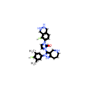 Cc1cc(-n2nc3c(c2-n2ccn(-c4ccc5c(c4F)CNNC5)c2=O)CNCCC3)cc(C)c1F